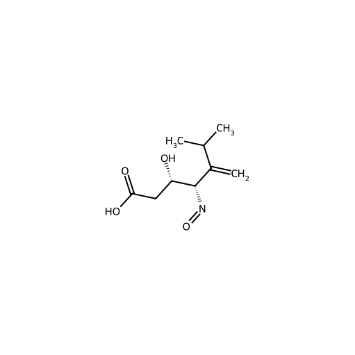 C=C(C(C)C)[C@H](N=O)[C@@H](O)CC(=O)O